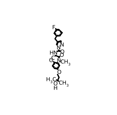 CN1C(=O)[C@@H](NC(=O)n2cc(Cc3cccc(F)c3)cn2)COc2ccc(OCCC(C)(C)O)cc21